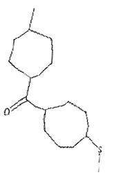 CSC1CCC(C(=O)C2CCC(C)CC2)CC1